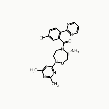 Cc1cc(N2CCN(C(=O)c3cc(Cl)ccc3-c3ncccn3)[C@H](C)CO2)nc(C)n1